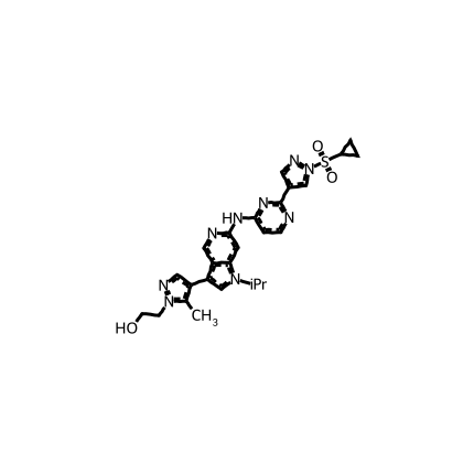 Cc1c(-c2cn(C(C)C)c3cc(Nc4ccnc(-c5cnn(S(=O)(=O)C6CC6)c5)n4)ncc23)cnn1CCO